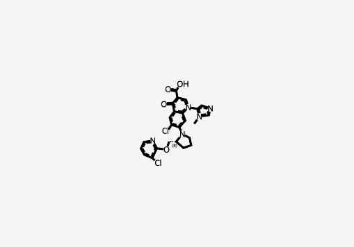 Cn1cncc1-n1cc(C(=O)O)c(=O)c2cc(Cl)c(N3CCC[C@@H]3COc3ncccc3Cl)cc21